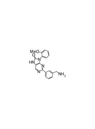 COc1ccccc1-n1c(=O)[nH]c2cnc(-c3cccc(CN)c3)nc21